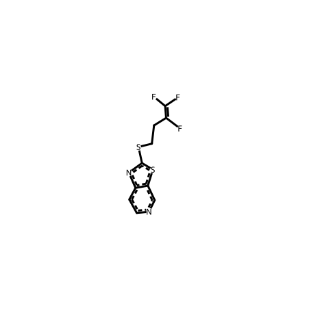 FC(F)=C(F)CCSc1nc2ccncc2s1